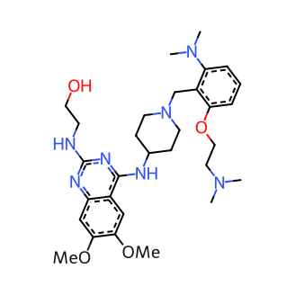 COc1cc2nc(NCCO)nc(NC3CCN(Cc4c(OCCN(C)C)cccc4N(C)C)CC3)c2cc1OC